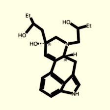 CCC(O)CN1C[C@](O)(CC(O)CC)C=C2c3cccc4[nH]cc(c34)C[C@H]21